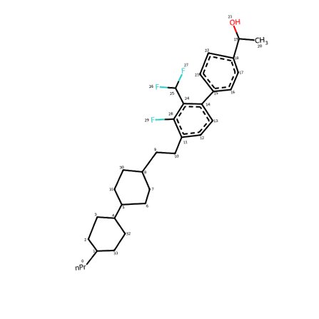 CCCC1CCC(C2CCC(CCc3ccc(-c4ccc(C(C)O)cc4)c(C(F)F)c3F)CC2)CC1